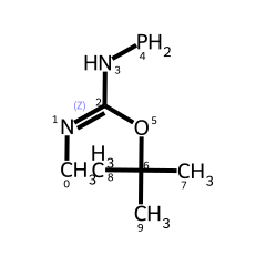 C/N=C(/NP)OC(C)(C)C